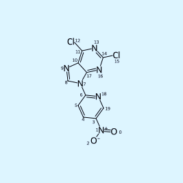 O=[N+]([O-])c1ccc(-n2cnc3c(Cl)nc(Cl)nc32)nc1